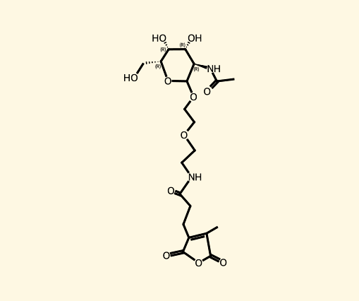 CC(=O)N[C@H]1C(OCCOCCNC(=O)CCC2=C(C)C(=O)OC2=O)O[C@H](CO)[C@H](O)[C@@H]1O